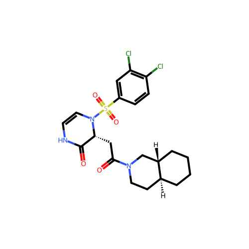 O=C1NC=CN(S(=O)(=O)c2ccc(Cl)c(Cl)c2)[C@@H]1CC(=O)N1CC[C@@H]2CCCC[C@H]2C1